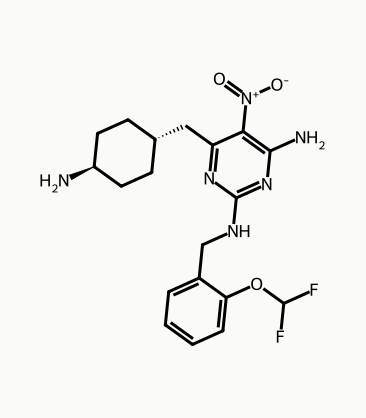 Nc1nc(NCc2ccccc2OC(F)F)nc(C[C@H]2CC[C@H](N)CC2)c1[N+](=O)[O-]